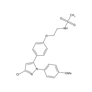 COc1ccc(-n2nc(Cl)cc2-c2ccc(OCCNS(C)(=O)=O)cc2)cc1